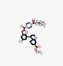 COC(=O)c1ccc2c(-c3cc(Cl)cc4c3OC(C(=O)N3CCN(C(=O)OC(C)(C)C)CC3)C4)ccnc2c1